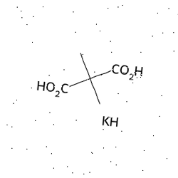 CC(C)(C(=O)O)C(=O)O.[KH]